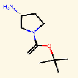 C=C(OC(C)(C)C)N1CC[C@@H](N)C1